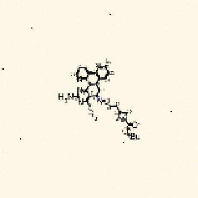 Cc1nc(N)nc2c1/C(=N/OCCC1CN(C(=O)OC(C)(C)C)C1)CC(c1ccc(F)cc1-c1cccnc1)C2